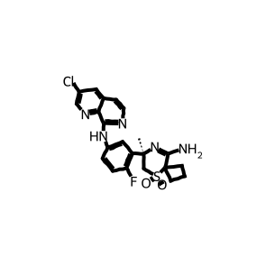 C[C@@]1(c2cc(Nc3nccc4cc(Cl)cnc34)ccc2F)CS(=O)(=O)C2(CCC2)C(N)=N1